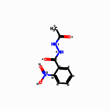 CC(=O)NNC(=O)c1ccccc1[N+](=O)[O-]